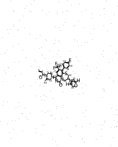 C=CC(=O)N1C[C@H](C)N(c2nc(=O)n3c4c(c(-c5ccc(F)cc5)c(C(F)(F)F)cc24)SCC(N2C[C@@H]4C[C@H]2CO4)C3)C[C@H]1C